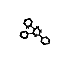 c1ccc(-c2nnc(-c3ccccn3)c(-c3ccccc3)n2)cc1